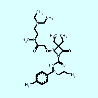 CCC[C@@H](NC(=O)N1C(=O)C(CC)(CC)[C@@H]1OCC(=O)N(C)CCN(CC)CC)c1ccc(C)cc1